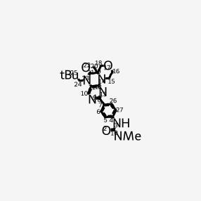 CNC(=O)Nc1ccc(-c2ncc3c(n2)N2CCOCC2(C)C(=O)N3CC(C)(C)C)cc1